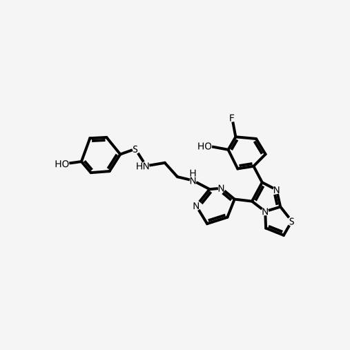 Oc1ccc(SNCCNc2nccc(-c3c(-c4ccc(F)c(O)c4)nc4sccn34)n2)cc1